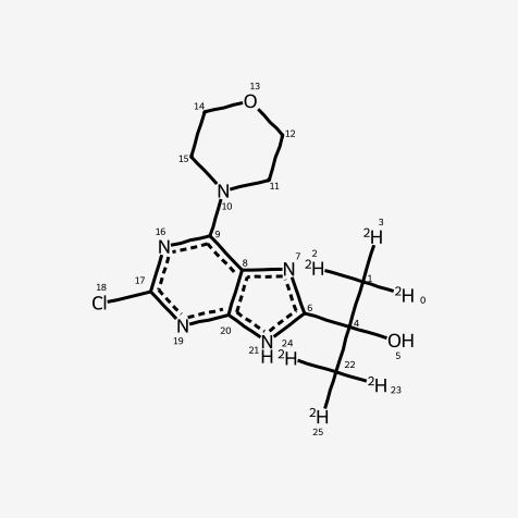 [2H]C([2H])([2H])C(O)(c1nc2c(N3CCOCC3)nc(Cl)nc2[nH]1)C([2H])([2H])[2H]